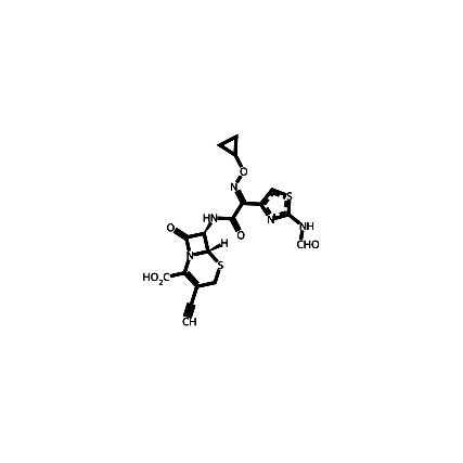 C#CC1=C(C(=O)O)N2C(=O)[C@@H](NC(=O)C(=NOC3CC3)c3csc(NC=O)n3)[C@@H]2SC1